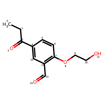 CCC(=O)c1ccc(OCCO)c(C=O)c1